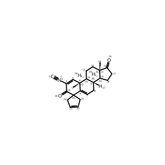 [C-]#[N+]C1=C[C@@]2(C)C(=CC[C@@H]3[C@@H]2CC[C@]2(C)C(=O)CC[C@@H]32)C2(CC=CC2)C1=O